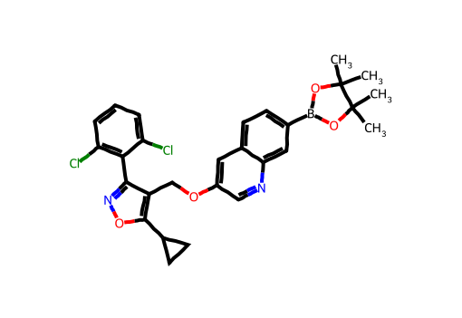 CC1(C)OB(c2ccc3cc(OCc4c(-c5c(Cl)cccc5Cl)noc4C4CC4)cnc3c2)OC1(C)C